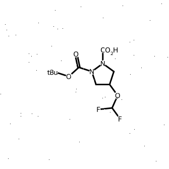 CC(C)(C)OC(=O)N1CC(OC(F)F)CN1C(=O)O